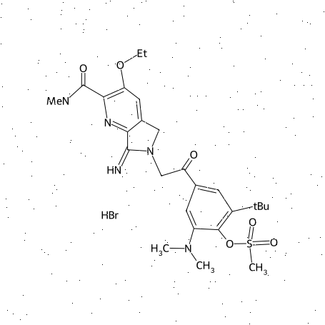 Br.CCOc1cc2c(nc1C(=O)NC)C(=N)N(CC(=O)c1cc(N(C)C)c(OS(C)(=O)=O)c(C(C)(C)C)c1)C2